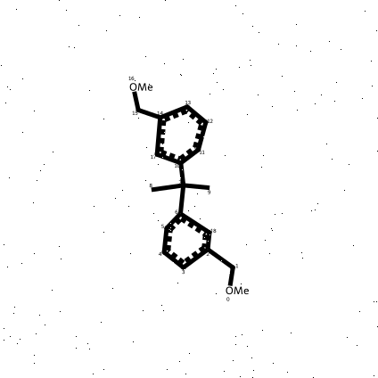 COCc1cccc(C(C)(C)c2cccc(COC)c2)c1